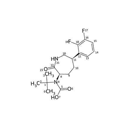 CC(C)(C)N(C(=O)O)[C@@H]1CC[C@H](c2cccc(F)c2F)CNC1=O